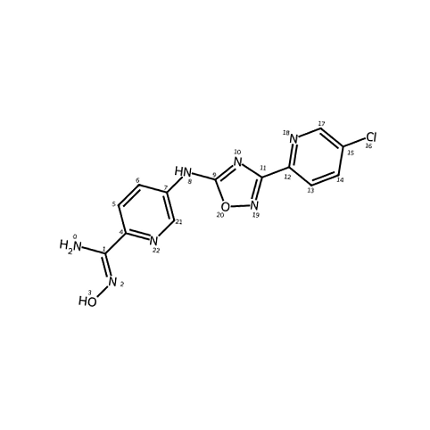 N/C(=N\O)c1ccc(Nc2nc(-c3ccc(Cl)cn3)no2)cn1